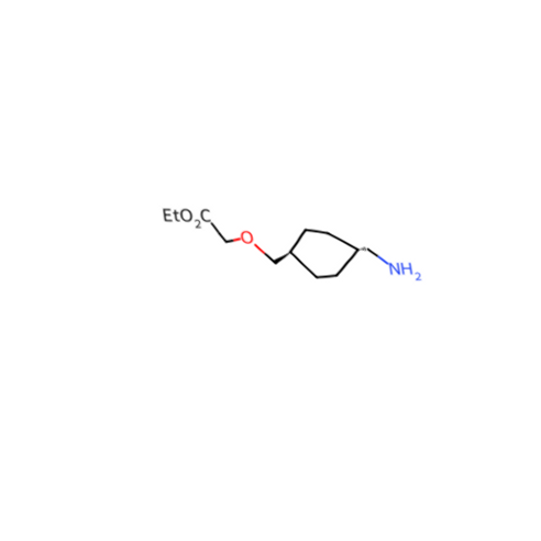 CCOC(=O)COC[C@H]1CC[C@H](CN)CC1